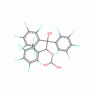 OB(O)OC(c1c(F)c(F)c(F)c(F)c1F)C(O)(c1c(F)c(F)c(F)c(F)c1F)c1c(F)c(F)c(F)c(F)c1F